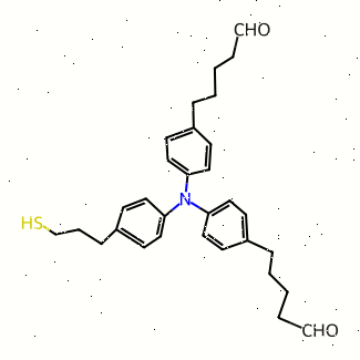 O=CCCCCc1ccc(N(c2ccc(CCCS)cc2)c2ccc(CCCCC=O)cc2)cc1